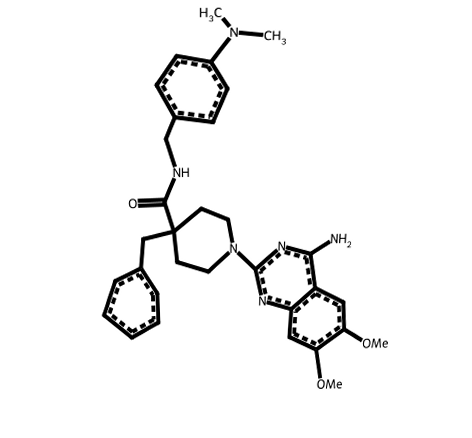 COc1cc2nc(N3CCC(Cc4ccccc4)(C(=O)NCc4ccc(N(C)C)cc4)CC3)nc(N)c2cc1OC